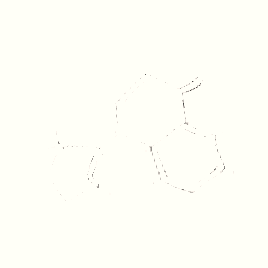 S=C1C=CC(c2ncc[nH]2)c2ccccc21